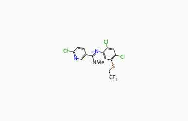 CN/C(=N\c1cc(SCC(F)(F)F)c(Cl)cc1Cl)c1ccc(Cl)nc1